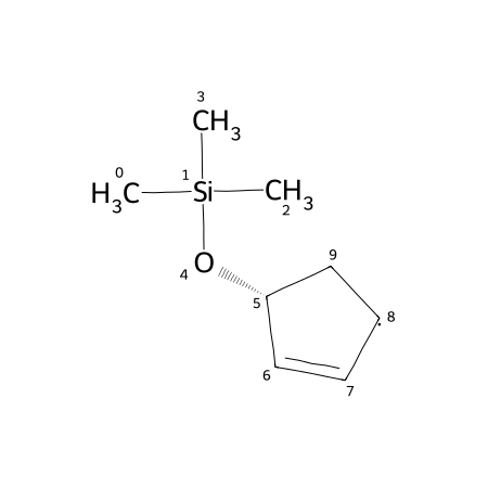 C[Si](C)(C)O[C@H]1C=C[CH]C1